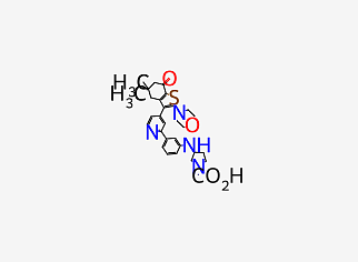 CC1(C)CC(=O)c2sc(N3CCOCC3)c(-c3ccnc(-c4cccc(NC5CCN(C(=O)O)C5)c4)c3)c2C1